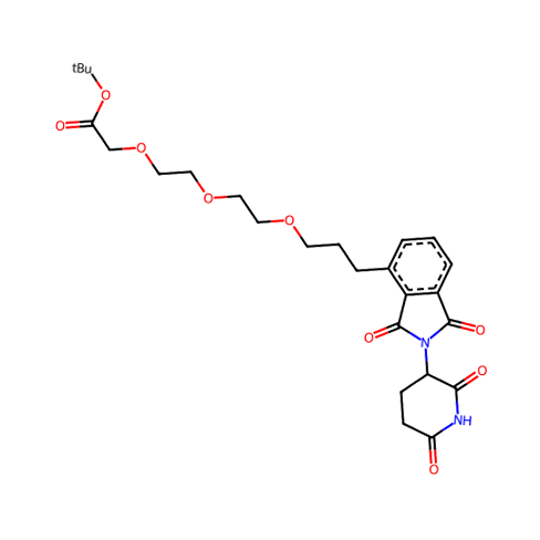 CC(C)(C)OC(=O)COCCOCCOCCCc1cccc2c1C(=O)N(C1CCC(=O)NC1=O)C2=O